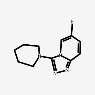 Fc1ccc2nnc(N3CCCCC3)n2c1